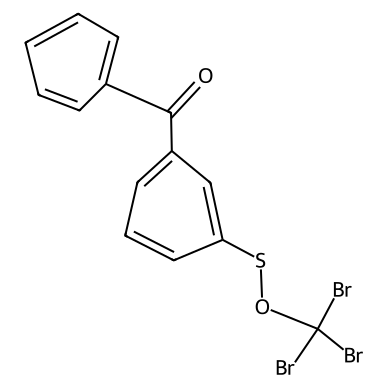 O=C(c1ccccc1)c1cccc(SOC(Br)(Br)Br)c1